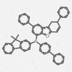 CC1(C)c2ccccc2-c2ccc(N(c3ccc(-c4ccccc4)cc3)c3cc(-c4ccccc4)cc4c5c(oc34)C=CC(c3ccccc3)C5)cc21